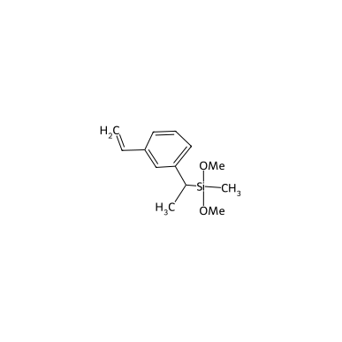 C=Cc1cccc(C(C)[Si](C)(OC)OC)c1